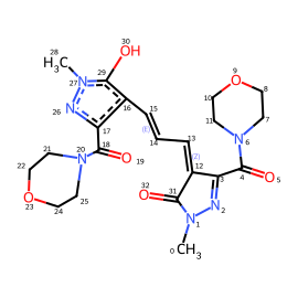 CN1N=C(C(=O)N2CCOCC2)/C(=C/C=C/c2c(C(=O)N3CCOCC3)nn(C)c2O)C1=O